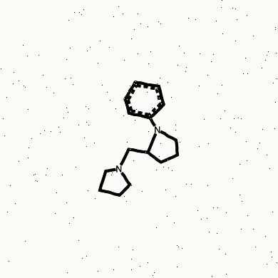 c1ccc(N2CCCC2CN2CCCC2)cc1